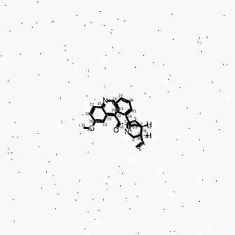 C=C[C@H]1CN2CC[C@H]1C[C@]2(C(=O)c1ccnc2ccc(OC)cc12)c1ccccc1